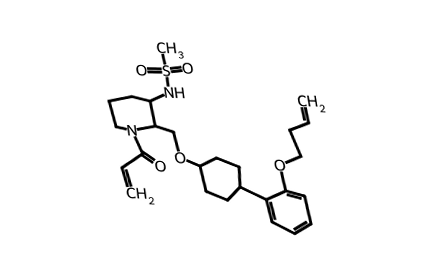 C=CCCOc1ccccc1C1CCC(OCC2C(NS(C)(=O)=O)CCCN2C(=O)C=C)CC1